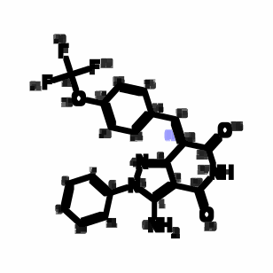 Nc1c2c(nn1-c1ccccc1)/C(=C\c1ccc(OC(F)(F)F)cc1)C(=O)NC2=O